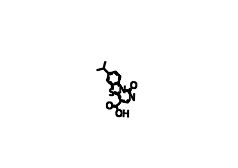 CC(C)c1ccc2c(c1)sc1c(C(=O)O)cnc(=O)n12